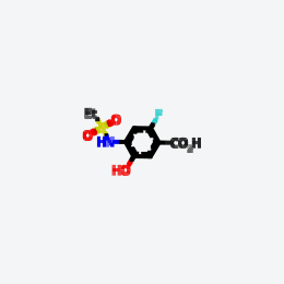 CCS(=O)(=O)Nc1cc(F)c(C(=O)O)cc1O